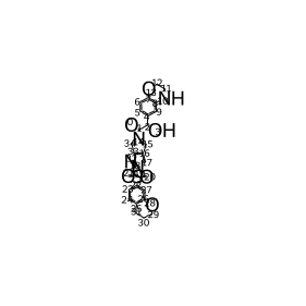 O=C(C(O)c1ccc2c(c1)NCCO2)N1Cc2cn(S(=O)(=O)c3ccc4c(c3)OCCC4)nc2C1